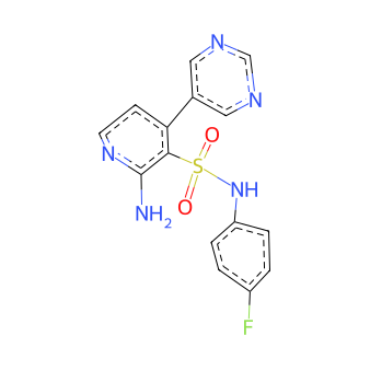 Nc1nccc(-c2cncnc2)c1S(=O)(=O)Nc1ccc(F)cc1